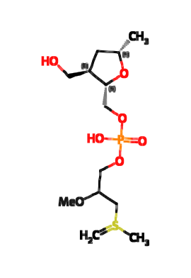 C=S(C)CC(COP(=O)(O)OC[C@H]1O[C@@H](C)C[C@@H]1CO)OC